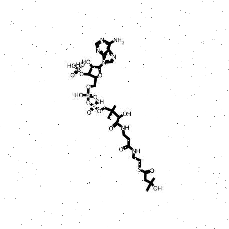 CC(C)(O)CC(=O)SCCNC(=O)CCNC(=O)C(O)C(C)(C)COP(=O)(O)OP(=O)(O)OCC1OC(n2cnc3c(N)ncnc32)C(O)C1OP(=O)(O)O